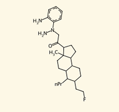 CCCC1C(CCF)CCC2C1CCC1(C)C(C(=O)CN(N)c3ccccc3N)CCC21